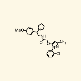 COC1C=CC(C(CNC(=O)COc2cc(C(F)(F)F)nn2-c2ccccc2Cl)N2CCCC2)=CC1